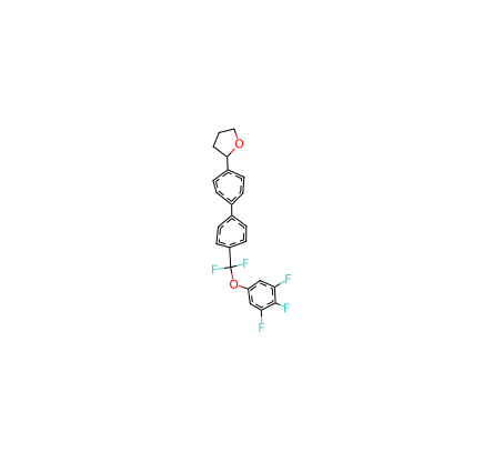 Fc1cc(OC(F)(F)c2ccc(-c3ccc(C4CCCO4)cc3)cc2)cc(F)c1F